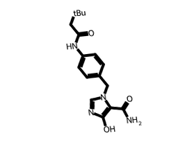 CC(C)(C)CC(=O)Nc1ccc(Cn2cnc(O)c2C(N)=O)cc1